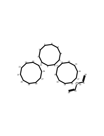 C1CCCCCCCCC1.C1CCCCCCCCC1.C1CCCCCCCCC1.C=COC=C